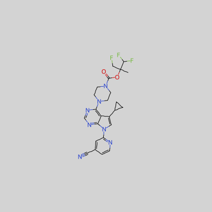 CC(CF)(OC(=O)N1CCN(c2ncnc3c2c(C2CC2)cn3-c2cc(C#N)ccn2)CC1)C(F)F